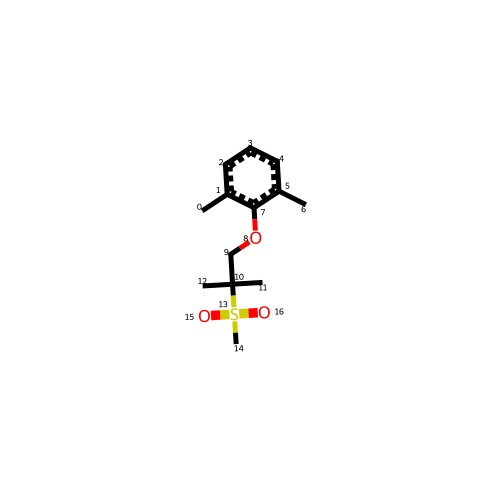 Cc1cccc(C)c1OCC(C)(C)S(C)(=O)=O